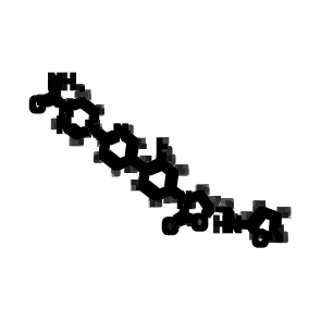 NC(=O)N1CCN(c2ccc(-c3ccc(N4C[C@H](CNc5ccno5)OC4=O)cc3F)cn2)C=N1